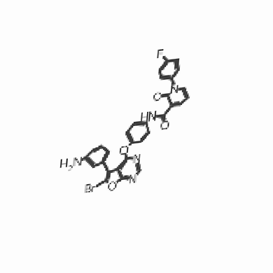 Nc1cccc(-c2c(Br)oc3ncnc(Oc4ccc(NC(=O)c5cccn(-c6ccc(F)cc6)c5=O)cc4)c23)c1